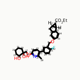 CCOC(=O)[C@H]1[C@@H]2Cc3cc(OCc4cc(-c5ccc(OCC6(O)CCCCC6O)nc5C)ccc4F)ccc3[C@@H]21